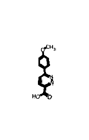 COc1ccc(-c2ccc(C(=O)O)nn2)cc1